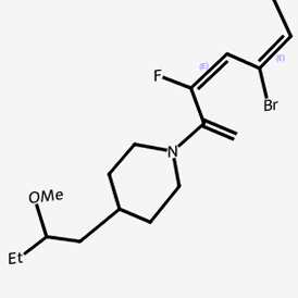 C=C(/C(F)=C\C(Br)=C/C)N1CCC(CC(CC)OC)CC1